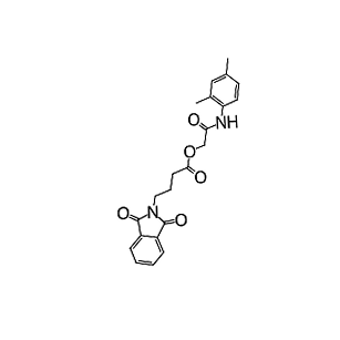 Cc1ccc(NC(=O)COC(=O)CCCN2C(=O)c3ccccc3C2=O)c(C)c1